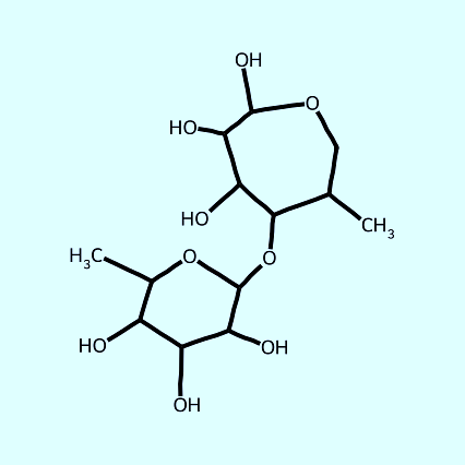 CC1COC(O)C(O)C(O)C1OC1OC(C)C(O)C(O)C1O